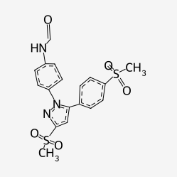 CS(=O)(=O)c1ccc(-c2cc(S(C)(=O)=O)nn2-c2ccc(NC=O)cc2)cc1